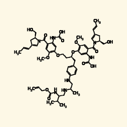 C=CCOC(=O)NC(CNC(C)CNc1ccc(C[C@@H](CCOc2cc(NC(=O)O)c(C(=O)N3C=C(/C=C/C)C[C@H]3CO)cc2OC)Oc2cc(NC(=O)O)c(C(=O)N3C=C(/C=C/C)C[C@H]3CO)cc2OC)cc1)C(C)C